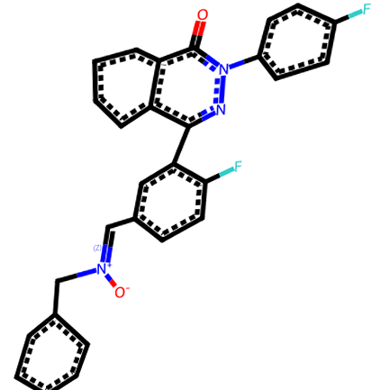 O=c1c2ccccc2c(-c2cc(/C=[N+](\[O-])Cc3ccccc3)ccc2F)nn1-c1ccc(F)cc1